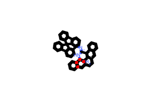 NC(N/C(=N\Cc1cccc2c1C1(c3ccccc3-c3ccccc31)c1ccccc1-2)c1c2ccccc2cc2ccc3ccccc3c12)c1ccccc1